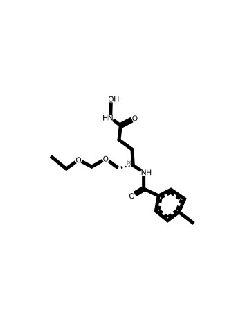 CCOCOC[C@H](CCC(=O)NO)NC(=O)c1ccc(C)cc1